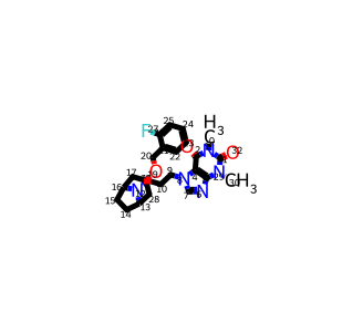 Cn1c(=O)c2c(ncn2CCCN2C3CCC2CC(OCc2ccccc2F)C3)n(C)c1=O